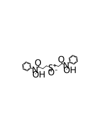 O=C(CC[S+]([O-])CCC(=O)N(O)c1ccccc1)N(O)c1ccccc1